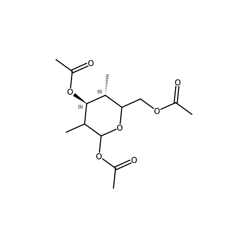 CC(=O)OCC1OC(OC(C)=O)C(C)[C@@H](OC(C)=O)[C@@H]1C